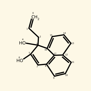 C=CCC1(O)C(O)=Cc2cccc3cccc1c23